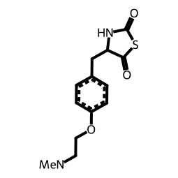 CNCCOc1ccc(CC2NC(=O)SC2=O)cc1